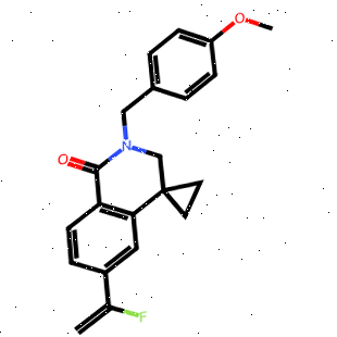 C=C(F)c1ccc2c(c1)C1(CC1)CN(Cc1ccc(OC)cc1)C2=O